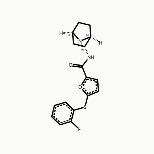 O=C(N[C@@H]1C[C@H]2CC[C@@H]1N2)c1ccc(Sc2ccccc2F)o1